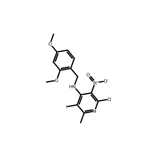 COc1ccc(CNc2c(I)c(C)nc(Cl)c2[N+](=O)[O-])c(OC)c1